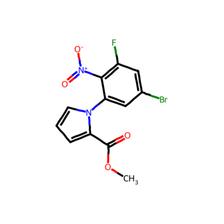 COC(=O)c1cccn1-c1cc(Br)cc(F)c1[N+](=O)[O-]